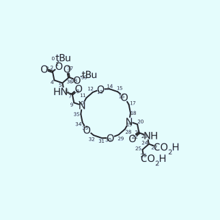 CC(C)(C)OC(=O)CC(NC(=O)CN1CCOCCOCCN(CC(=O)NC(CC(=O)O)C(=O)O)CCOCCOCC1)C(=O)OC(C)(C)C